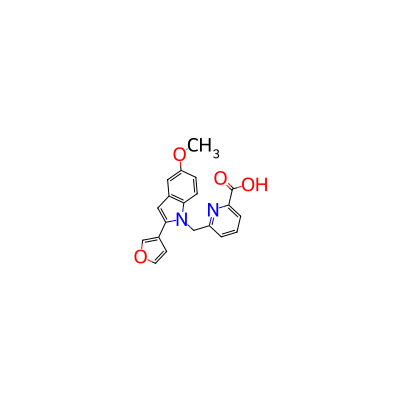 COc1ccc2c(c1)cc(-c1ccoc1)n2Cc1cccc(C(=O)O)n1